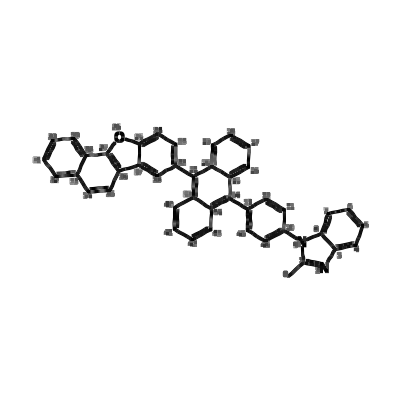 Cc1nc2ccccc2n1-c1ccc(-c2c3ccccc3c(-c3ccc4oc5c6ccccc6ccc5c4c3)c3ccccc23)cc1